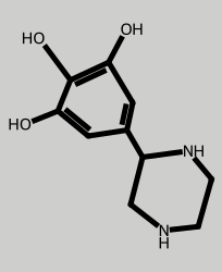 Oc1cc(C2CNCCN2)cc(O)c1O